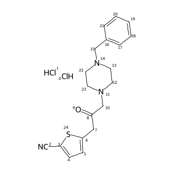 Cl.Cl.N#Cc1ccc(CC(=O)CN2CCN(Cc3ccccc3)CC2)s1